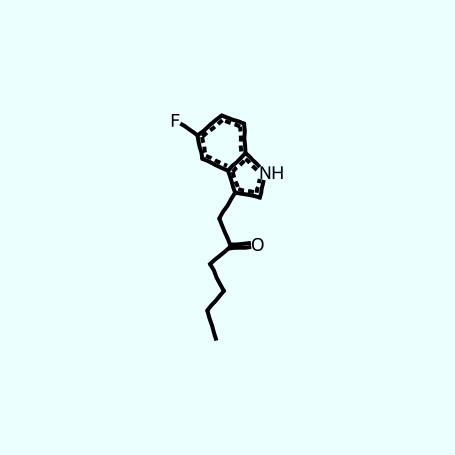 CCCCC(=O)Cc1c[nH]c2ccc(F)cc12